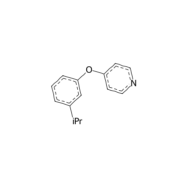 CC(C)c1cccc(Oc2ccncc2)c1